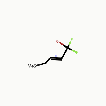 [CH2]SC/C=C/C(F)(F)Br